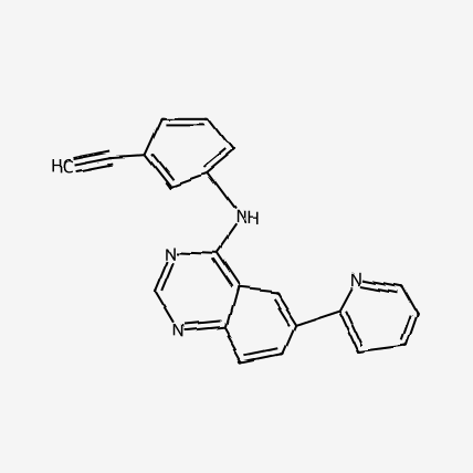 C#Cc1cccc(Nc2ncnc3ccc(-c4ccccn4)cc23)c1